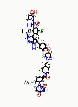 COc1ccc(C(=O)N2CCC(CCN3CCC(Oc4ccc(-c5cc6c(-c7cc(F)cc(NC(=O)N8CC[C@@H](O)C8)c7C)ncnc6[nH]5)cc4)CC3)CC2)cc1N1CCC(=O)NC1=O